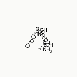 CC(C)C[C@H](N)B(O)O.O=C(O)[C@H](Cc1ccc(OCc2ccccc2)cc1)NC(=O)N1CCOCC1